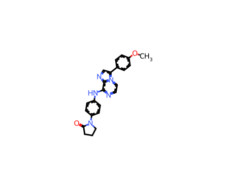 COc1ccc(-c2cnc3c(Nc4ccc(N5CCCC5=O)cc4)nccn23)cc1